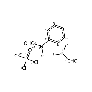 CN(C)C=O.CN(C=O)c1ccccc1.O=P(Cl)(Cl)Cl